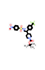 CC(C)(C)OC(=O)N1CCC(C(CNS(=O)(=O)c2ccc([N+](=O)[O-])cc2)c2ccc(C(F)(F)F)cc2)CC1